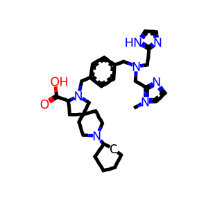 Cn1ccnc1CN(Cc1ccc(CN2CC3(CCN(C4CCCCC4)CC3)CC2C(=O)O)cc1)Cc1ncc[nH]1